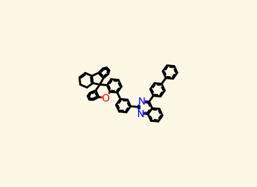 C1=CC2=C(CC1)C1(c3ccccc3Oc3c(-c4cccc(-c5nc(-c6ccc(-c7ccccc7)cc6)c6ccccc6n5)c4)cccc31)c1ccccc12